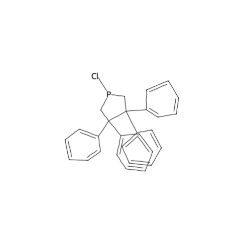 ClP1CC(c2ccccc2)(c2ccccc2)C(c2ccccc2)(c2ccccc2)C1